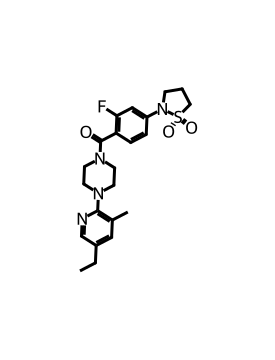 CCc1cnc(N2CCN(C(=O)c3ccc(N4CCCS4(=O)=O)cc3F)CC2)c(C)c1